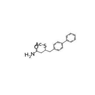 CC(=O)SC(CC(N)=O)Cc1ccc(-c2ccccc2)cc1